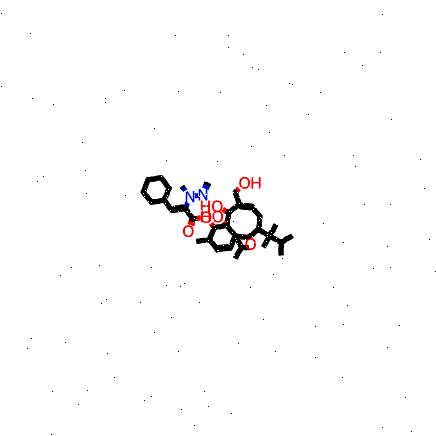 C=NN(C)C(=CC1CCCCC1)C(=O)OC1C(C)C=CC2(C(C)C)C(=O)C(C(C)(C)C(C)C)C/C=C(/CO)C(O)C12O